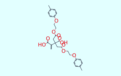 C=C(C(=O)O)C(CC(=O)OCCOc1ccc(C)cc1)(CC(=O)OCCOc1ccc(C)cc1)C(=O)O